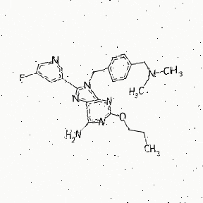 CCCOc1nc(N)c2nc(-c3cncc(F)c3)n(Cc3ccc(CN(C)C)cc3)c2n1